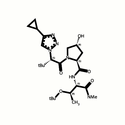 CNC(=O)[C@@H](NC(=O)[C@@H]1C[C@@H](O)CN1C(=O)[C@@H](n1cc(C2CC2)nn1)C(C)(C)C)[C@@H](C)OC(C)(C)C